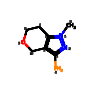 Cn1nc(P)c2c1CCOC2